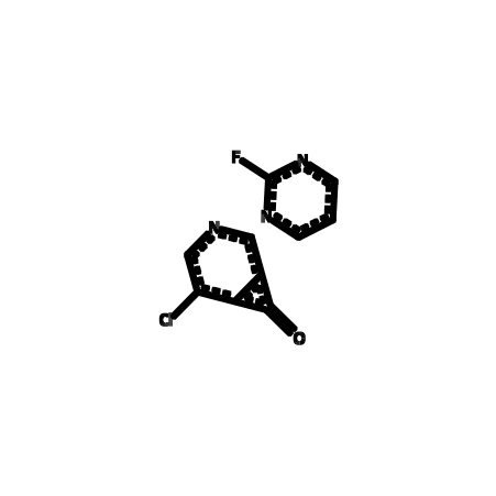 Fc1ncccn1.O=c1c2cncc(Cl)c12